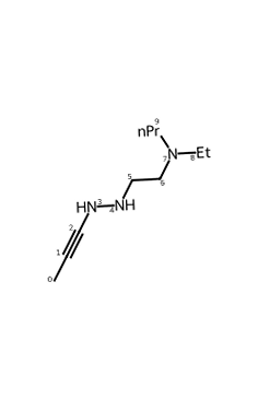 CC#CNNCCN(CC)CCC